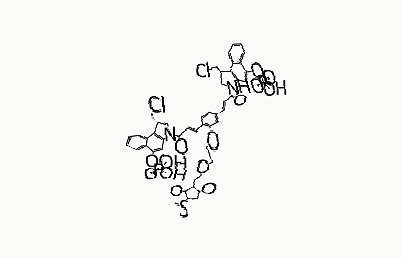 CSC1CC(=O)C(CCOCCOc2cc(/C=C/C(=O)N3C[C@@H](CCl)c4c3cc(OP(=O)(O)O)c3ccccc43)ccc2/C=C/C(=O)N2C[C@@H](CCl)c3c2cc(OP(=O)(O)O)c2ccccc32)C1=O